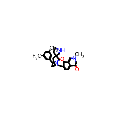 CN1C=C2CC(CN(Cc3cc(C(F)(F)F)cc(C(F)(F)F)c3)C(=O)C3(CC4CC4)CCNC3)=CC=C2C(=O)C1